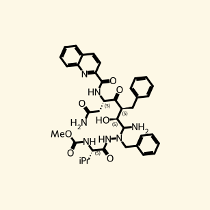 COC(=O)N[C@H](C(=O)NN(Cc1ccccc1)C(N)[C@@H](O)[C@H](Cc1ccccc1)C(=O)[C@H](CC(N)=O)NC(=O)c1ccc2ccccc2n1)C(C)C